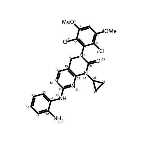 COc1cc(OC)c(Cl)c(N2Cc3cnc(Nc4ccccc4N)nc3N(C3CC3)C2=O)c1Cl